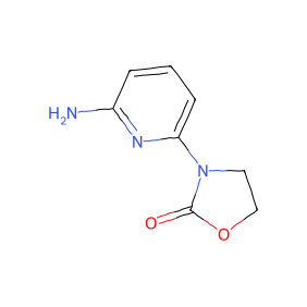 Nc1cccc(N2CCOC2=O)n1